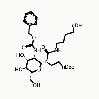 CCCCCCCCCCCCCCNC(=O)N(CCCCCCCCCCCC)[C@@H]1O[C@H](CO)[C@@H](O)[C@H](O)[C@@H]1NC(=O)OCc1ccccc1